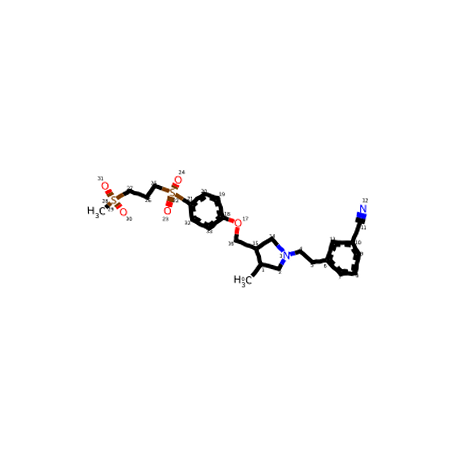 CC1CN(CCc2cccc(C#N)c2)CC1COc1ccc(S(=O)(=O)CCCS(C)(=O)=O)cc1